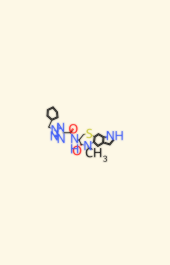 CN1C(=O)[C@@H](NC(=O)c2nnn(Cc3ccccc3)n2)CSc2cc3[nH]ccc3cc21